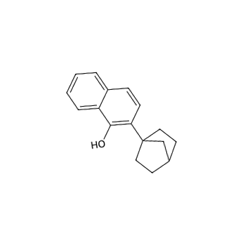 Oc1c(C23CCC(CC2)C3)ccc2ccccc12